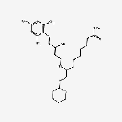 COC(=O)CCCCCCC(COC1CCCCO1)NCCC(O)COc1c(C)cc(C)cc1C